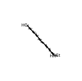 C#CC#CC#CC#CC#CC#CC#CC#CC#CNCC